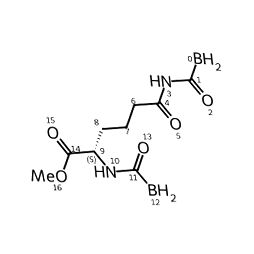 BC(=O)NC(=O)CCC[C@H](NC(B)=O)C(=O)OC